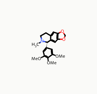 COc1cc([C@H]2c3cc4c(cc3CCN2C)OCO4)cc(OC)c1OC